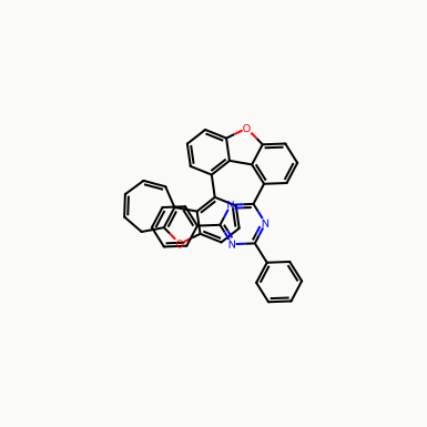 C1=CCc2oc3cccc(-c4cccc5oc6cccc(-c7nc(-c8ccccc8)nc(-c8ccccc8)n7)c6c45)c3c2C=C1